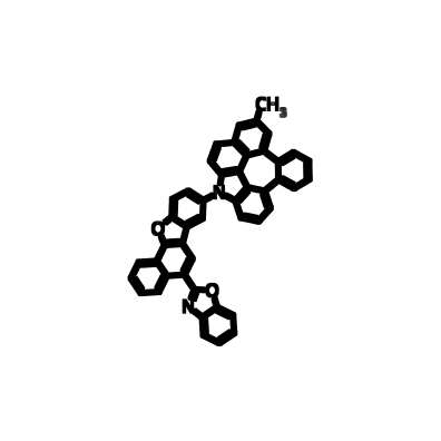 Cc1cc2c3c(ccc4c3c3c(cccc3n4-c3ccc4oc5c6ccccc6c(-c6nc7ccccc7o6)cc5c4c3)-c3ccccc3-2)c1